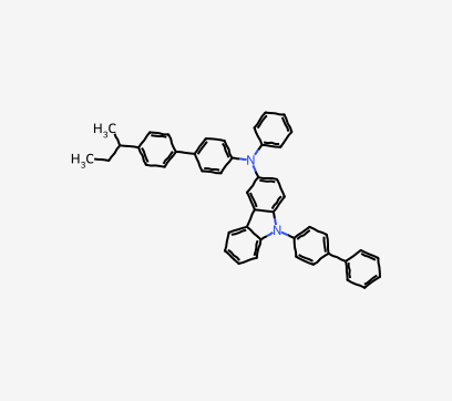 CCC(C)c1ccc(-c2ccc(N(c3ccccc3)c3ccc4c(c3)c3ccccc3n4-c3ccc(-c4ccccc4)cc3)cc2)cc1